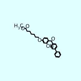 COC(=O)CCCCCCOc1ccc(C(=O)c2ccc(-c3ccccc3)cc2)c(O)c1